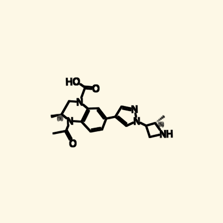 CC(=O)N1c2ccc(-c3cnn(C4CN[C@H]4C)c3)cc2N(C(=O)O)C[C@@H]1C